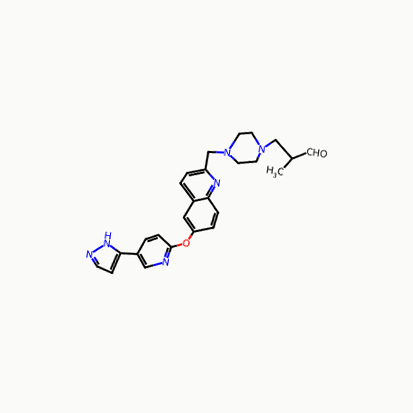 CC(C=O)CN1CCN(Cc2ccc3cc(Oc4ccc(-c5ccn[nH]5)cn4)ccc3n2)CC1